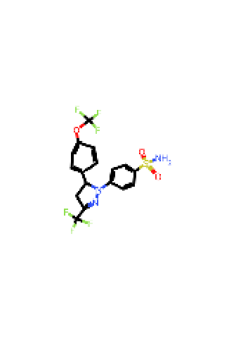 NS(=O)(=O)c1ccc(N2N=C(C(F)(F)F)CC2c2ccc(OC(F)(F)F)cc2)cc1